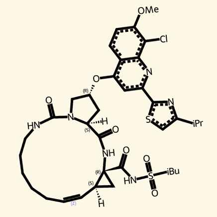 CCC(C)S(=O)(=O)NC(=O)[C@@]12C[C@H]1/C=C\CCCCCNC(=O)N1C[C@H](Oc3cc(-c4nc(C(C)C)cs4)nc4c(Cl)c(OC)ccc34)C[C@H]1C(=O)N2